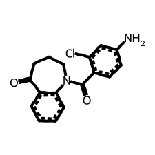 Nc1ccc(C(=O)N2CCCC(=O)c3ccccc32)c(Cl)c1